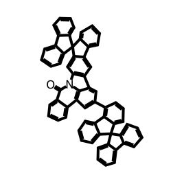 O=c1c2ccccc2c2cc(-c3cccc4c3-c3ccccc3C43c4ccccc4-c4ccccc43)cc3c4cc5c(cc4n1c23)C1(c2ccccc2-c2ccccc21)c1ccccc1-5